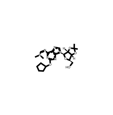 CN(C)/C=N\c1nc(OC2CCCC2)nc2c1ncn2[C@@H]1O[C@H](CO)[C@H]2OC(C)(C)O[C@H]21